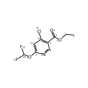 CCOC(=O)c1cnc(OC(F)F)cc1Cl